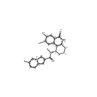 Cc1ccc2cc(C(=O)N(C)[C@@H]3COCc4[nH]c(=O)c5cc(F)c(F)cc5c43)cn2c1